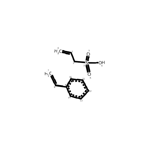 C=CCS(=O)(=O)O.C=Cc1ccccc1